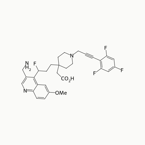 COc1ccc2ncc(CN)c(C(F)CCC3(CC(=O)O)CCN(CC#Cc4c(F)cc(F)cc4F)CC3)c2c1